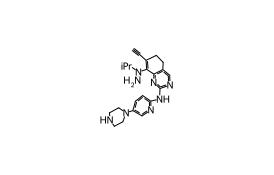 C#CC1=C(N(N)C(C)C)c2nc(Nc3ccc(N4CCNCC4)cn3)ncc2CC1